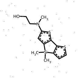 CN(CCO)c1cc2c(s1)-c1sccc1[Si]2(C)C